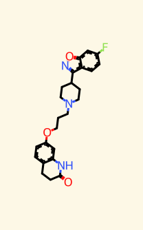 O=C1CCc2ccc(OCCCN3CCC(c4noc5cc(F)ccc45)CC3)cc2N1